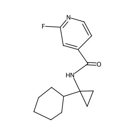 O=C(NC1(C2CCCCC2)CC1)c1ccnc(F)c1